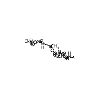 CN(CCCCCNC(=O)COc1ccc2c(c1)CCCN2C(=O)CCl)C[C@H]1CC[C@H](n2cc(N(C)C(=O)c3coc(-c4ccnc(NCC5CC5)c4)n3)c(C(F)F)n2)CC1